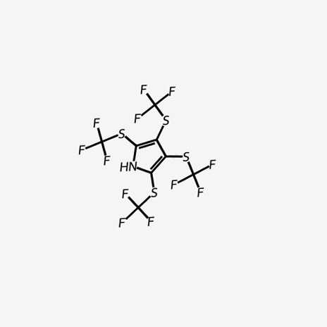 FC(F)(F)Sc1[nH]c(SC(F)(F)F)c(SC(F)(F)F)c1SC(F)(F)F